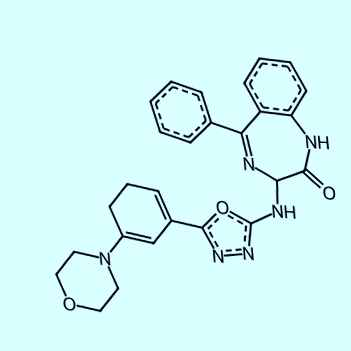 O=C1Nc2ccccc2C(c2ccccc2)=NC1Nc1nnc(C2=CCCC(N3CCOCC3)=C2)o1